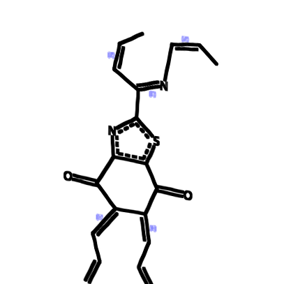 C=C/C=C1/C(=O)c2nc(C(/C=C\C)=N/C=C\C)sc2C(=O)/C1=C/C=C